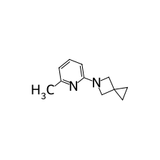 Cc1cccc(N2CC3(CC3)C2)n1